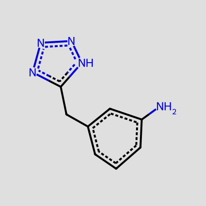 Nc1cccc(Cc2nnn[nH]2)c1